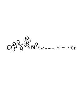 CCC=CCC=CCC=CCC=CCC=CCC=CCCC(=O)NCCC(CCNC(=O)C1=CC(=O)C(C)(c2ccccc2)O1)N1CCOCC1